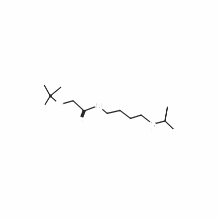 CC(C)NCCCCNC(=O)COC(C)(C)C